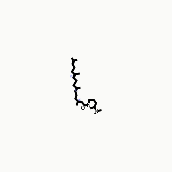 CC(C)=CCC/C(C)=C/CC/C(C)=C/CC/C(C)=C/C(=O)N1CCCC(N(C)C)C1